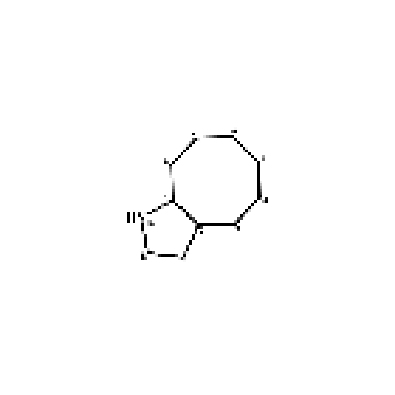 [CH]1CC2CCCCCCC2N1